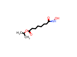 CC(C)OC(=O)CCCCCCC(=O)NO